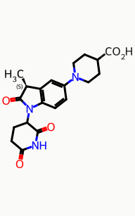 C[C@@H]1C(=O)N(C2CCC(=O)NC2=O)c2ccc(N3CCC(C(=O)O)CC3)cc21